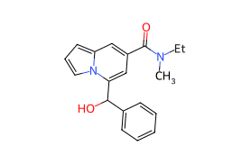 CCN(C)C(=O)c1cc(C(O)c2ccccc2)n2cccc2c1